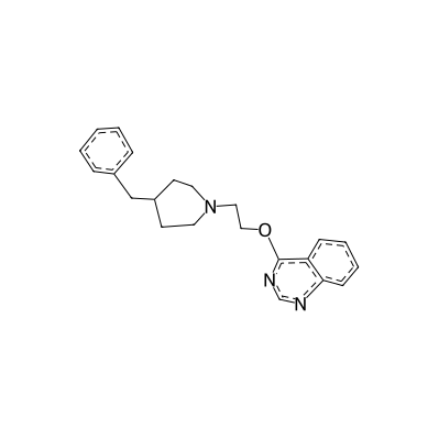 c1ccc(CC2CCN(CCOc3ncnc4ccccc34)CC2)cc1